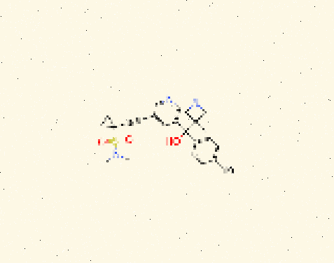 CC(C)c1ccc(C(O)(c2cncc(C#CC3(S(=O)(=O)N(C)C)CC3)c2)C2(C)CN(C)C2)cc1